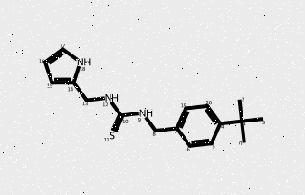 CC(C)(C)c1ccc(CNC(=S)NCc2ccc[nH]2)cc1